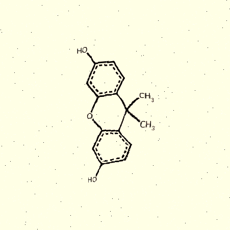 CC1(C)c2ccc(O)cc2Oc2cc(O)ccc21